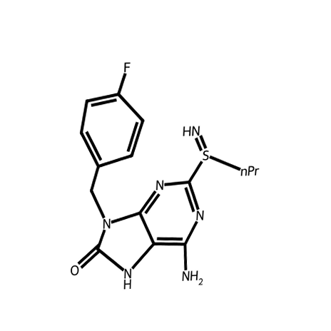 CCCS(=N)c1nc(N)c2[nH]c(=O)n(Cc3ccc(F)cc3)c2n1